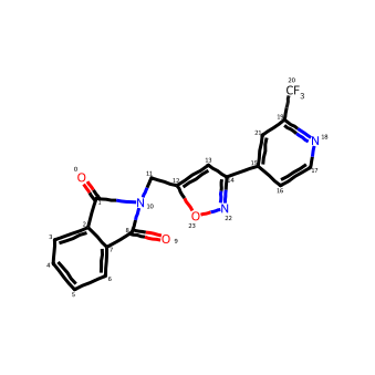 O=C1c2ccccc2C(=O)N1Cc1cc(-c2ccnc(C(F)(F)F)c2)no1